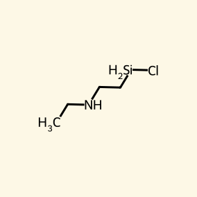 CCNCC[SiH2]Cl